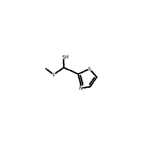 CSC(S)c1nccs1